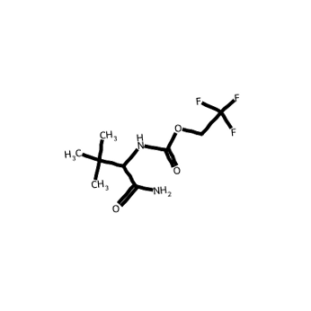 CC(C)(C)C(NC(=O)OCC(F)(F)F)C(N)=O